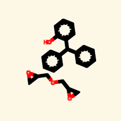 C(OCC1CO1)C1CO1.Oc1ccccc1C(c1ccccc1)c1ccccc1